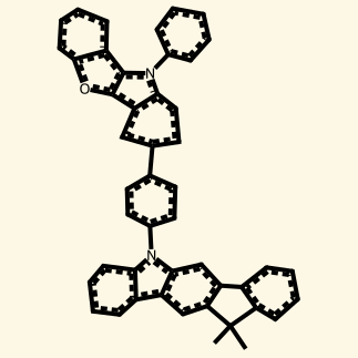 CC1(C)c2ccccc2-c2cc3c(cc21)c1ccccc1n3-c1ccc(-c2ccc3c(c2)c2oc4ccccc4c2n3-c2ccccc2)cc1